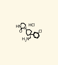 Cl.NC[C@]1(c2cccc(Cl)c2)CC[C@@H](N2CCCNC2=O)CC1